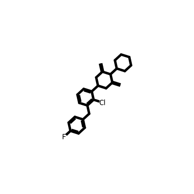 C=C1CC(c2cccc(Cc3ccc(F)cc3)c2Cl)CC(=C)C1C1CCCCC1